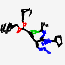 C=C(Cl)/N=C(NC1CCCC1)\C(C#CC(OCC)OCC)=C/N